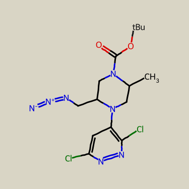 CC1CN(c2cc(Cl)nnc2Cl)C(CN=[N+]=[N-])CN1C(=O)OC(C)(C)C